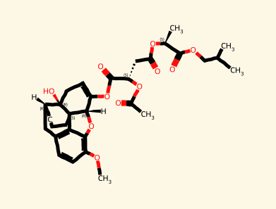 COc1ccc2c3c1O[C@H]1C(OC(=O)[C@H](CC(=O)O[C@@H](C)C(=O)OCC(C)C)OC(C)=O)=CC[C@@]4(O)[C@H](CCC[C@]314)C2